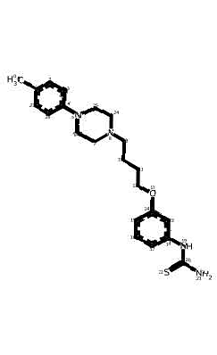 Cc1ccc(N2CCN(CCCCOc3cccc(NC(N)=S)c3)CC2)cc1